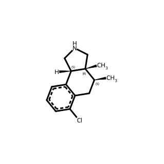 C[C@H]1Cc2c(Cl)cccc2[C@@H]2CNC[C@]12C